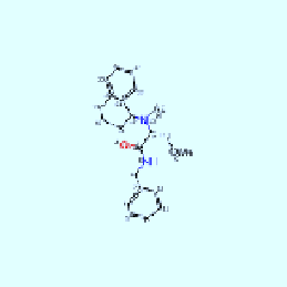 COC[C@H](C(=O)NCc1ccccc1)N(C(C)=O)[C@H]1CCCc2ccccc21